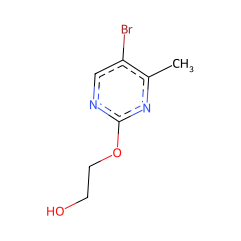 Cc1nc(OCCO)ncc1Br